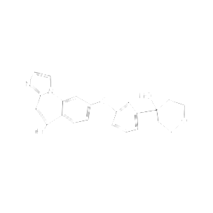 CC(C)c1cc2nccn2c2cc(Sc3cccc(C4(O)CCOCC4)c3)ccc12